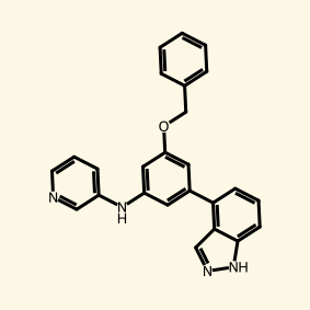 c1ccc(COc2cc(Nc3cccnc3)cc(-c3cccc4[nH]ncc34)c2)cc1